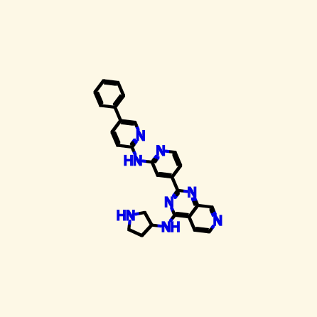 c1ccc(-c2ccc(Nc3cc(-c4nc(NC5CCNC5)c5ccncc5n4)ccn3)nc2)cc1